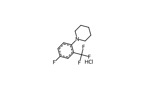 Cl.Fc1ccc(N2CCCCC2)c(C(F)(F)F)c1